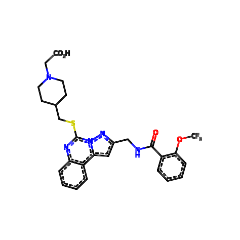 O=C(O)CN1CCC(CSc2nc3ccccc3c3cc(CNC(=O)c4ccccc4OC(F)(F)F)nn23)CC1